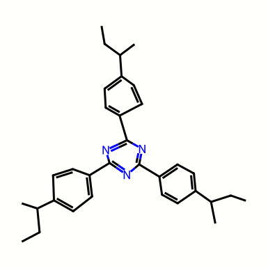 CCC(C)c1ccc(-c2nc(-c3ccc(C(C)CC)cc3)nc(-c3ccc(C(C)CC)cc3)n2)cc1